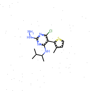 Cc1ccsc1-c1c(Cl)nc(NN)nc1NC(C)C(C)C